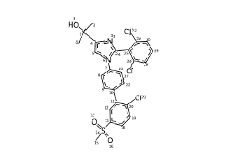 CC(C)(O)c1cn(-c2ccc(-c3cc(S(C)(=O)=O)ccc3Cl)cc2)c(-c2c(Cl)cccc2Cl)n1